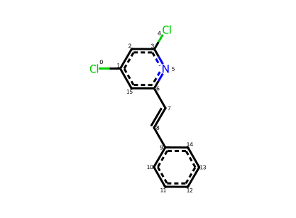 Clc1cc(Cl)nc(/C=C/c2ccccc2)c1